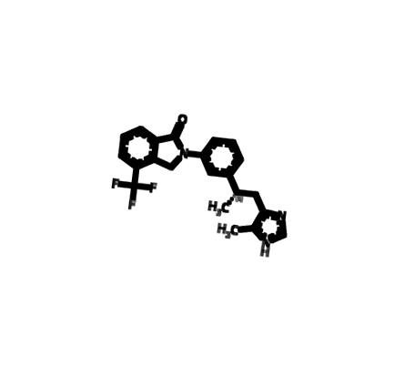 Cc1[nH]cnc1C[C@H](C)c1cccc(N2Cc3c(cccc3C(F)(F)F)C2=O)c1